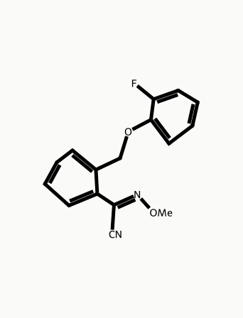 CON=C(C#N)c1ccccc1COc1ccccc1F